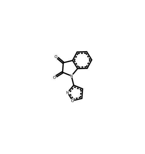 O=C1C(=O)N(c2ccon2)c2ccccc21